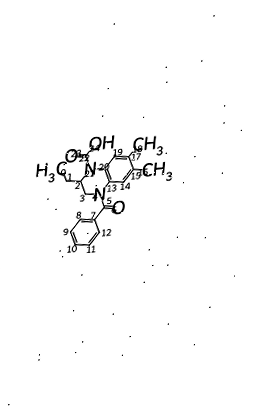 CCC1CN(C(=O)c2ccccc2)c2cc(C)c(C)cc2N1C(=O)O